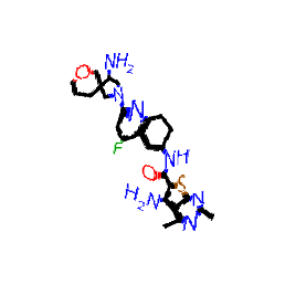 Cc1nc(C)c2c(N)c(C(=O)NC3CCc4nc(N5CC(N)C6(CCCOC6)C5)cc(F)c4C3)sc2n1